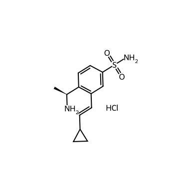 C[C@H](N)c1ccc(S(N)(=O)=O)cc1/C=C/C1CC1.Cl